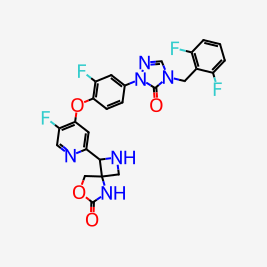 O=C1NC2(CNC2c2cc(Oc3ccc(-n4ncn(Cc5c(F)cccc5F)c4=O)cc3F)c(F)cn2)CO1